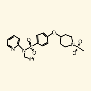 CC(C)CN(c1ccccn1)S(=O)(=O)c1ccc(OC2CCN(S(C)(=O)=O)CC2)cc1